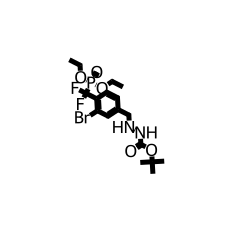 CCOP(=O)(OCC)C(F)(F)c1ccc(CNNC(=O)OC(C)(C)C)cc1Br